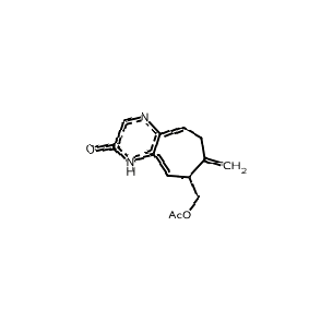 C=C1CC=c2ncc(=O)[nH]c2=CC1COC(C)=O